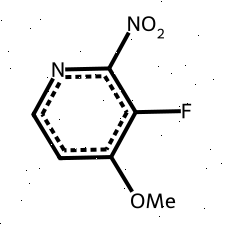 COc1ccnc([N+](=O)[O-])c1F